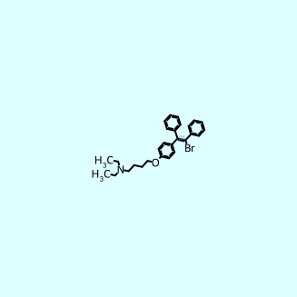 CCN(CC)CCCCOc1ccc(/C(=C(\Br)c2ccccc2)c2ccccc2)cc1